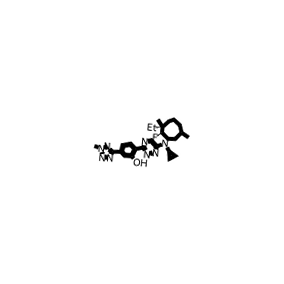 CC[C@]1(C)CCCC(C)C[C@H](N(c2cnc(-c3ccc(-c4nnn(C)n4)cc3O)nn2)C2CC2)[C@@H]1F